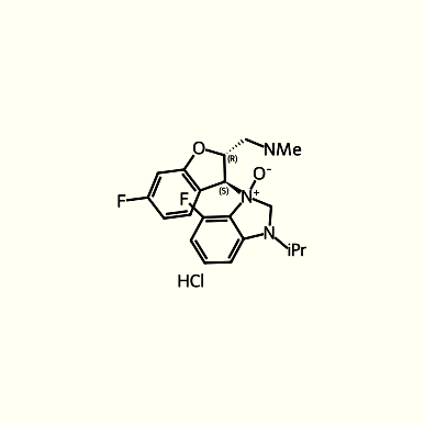 CNC[C@H]1Oc2cc(F)ccc2[C@@H]1[N+]1([O-])CN(C(C)C)c2cccc(F)c21.Cl